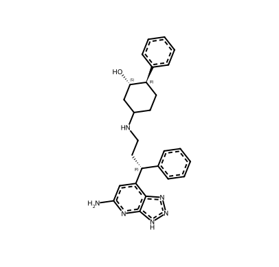 Nc1cc([C@H](CCNC2CC[C@H](c3ccccc3)[C@@H](O)C2)c2ccccc2)c2nn[nH]c2n1